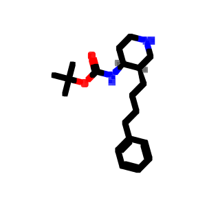 CC(C)(C)OC(=O)N[C@H]1CCNC[C@H]1CCCCc1ccccc1